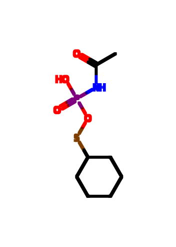 CC(=O)NP(=O)(O)OSC1CCCCC1